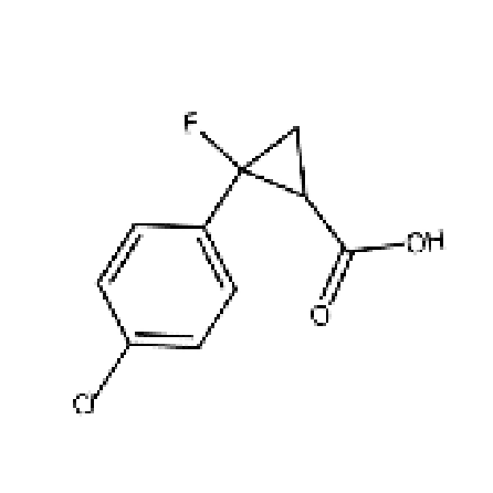 O=C(O)C1CC1(F)c1ccc(Cl)cc1